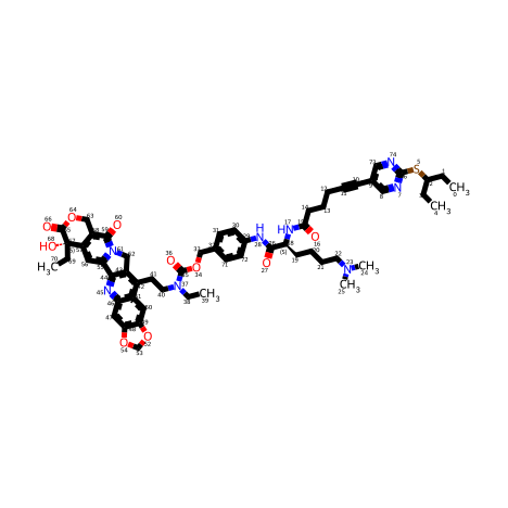 CCC(CC)Sc1ncc(C#CCCCC(=O)N[C@@H](CCCCN(C)C)C(=O)Nc2ccc(COC(=O)N(CC)CCc3c4c(nc5cc6c(cc35)OCO6)-c3cc5c(c(=O)n3C4)COC(=O)[C@]5(O)CC)cc2)cn1